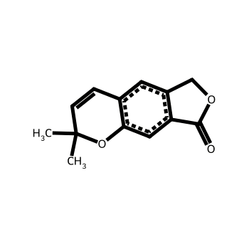 CC1(C)C=Cc2cc3c(cc2O1)C(=O)OC3